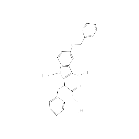 CCOC(=O)C(Cc1ccccc1)c1c(SC)c2cc(OCc3ccccn3)ccc2n1C